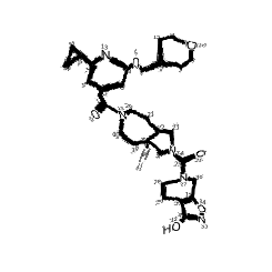 O=C(c1cc(OCC2CCOCC2)nc(C2CC2)c1)N1CCC2CN(C(=O)N3CCc4c(O)noc4C3)C[C@@H]2CC1